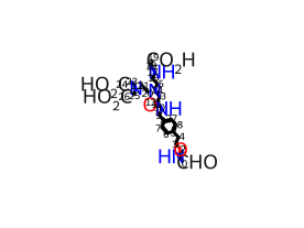 O=CNOCCc1ccc(CNC(=O)CN(CCNCC(=O)O)CCN(CC(=O)O)CC(=O)O)cc1